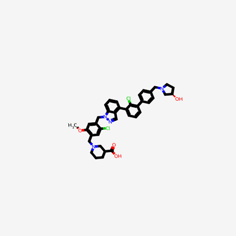 COc1cc(Cn2ncc3c(-c4cccc(-c5ccc(CN6CC[C@@H](O)C6)cc5)c4Cl)cccc32)c(Cl)cc1CN1CCCC(C(=O)O)C1